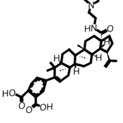 C=C(C)[C@@H]1CC[C@]2(C(=O)NCCN(C)C)CC[C@]3(C)[C@H](CC[C@@H]4[C@@]5(C)CC=C(c6ccc(C(=O)O)c(C(=O)O)c6)C(C)(C)[C@@H]5CC[C@]43C)[C@@H]12